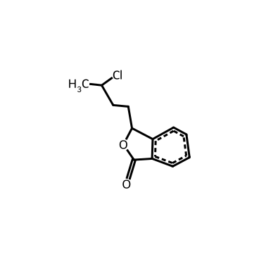 CC(Cl)CCC1OC(=O)c2ccccc21